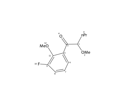 CCCC(OC)C(=O)c1cccc(F)c1OC